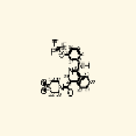 O=C(c1cnc(Nc2cccc(OC(F)(F)F)c2)c2c1C1CCC2CC1)N1CCS(=O)(=O)CC1